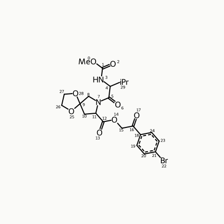 COC(=O)NC(C(=O)N1CC2(CC1C(=O)OCC(=O)c1ccc(Br)cc1)OCCO2)C(C)C